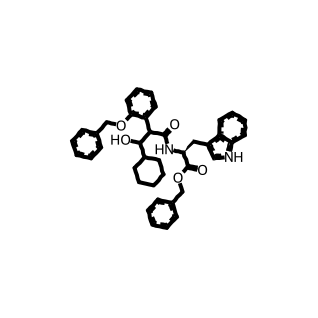 O=C(N[C@@H](Cc1c[nH]c2ccccc12)C(=O)OCc1ccccc1)C(c1ccccc1OCc1ccccc1)C(O)C1CCCCC1